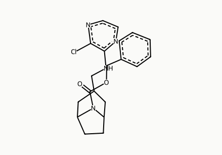 O=C(OCc1ccccc1)N1C2CCC1CC(CNc1nccnc1Cl)C2